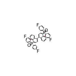 O=P(c1ccc(F)cc1)(c1ccc(F)cc1)c1ccc(-c2ccc(P(=O)(c3ccc(F)cc3)c3ccc(F)cc3)c3ccccc23)c2ccccc12